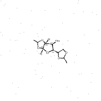 CC1OCC([C@H]2O[C@@H]3OC(C)O[C@@H]3[C@H]2O)O1